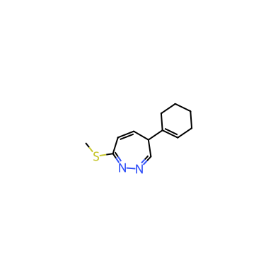 CSC1=NN=CC(C2=CCCCC2)C=C1